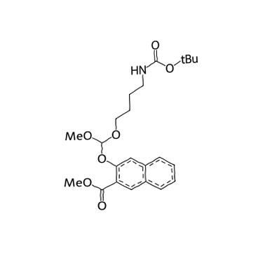 COC(=O)c1cc2ccccc2cc1OC(OC)OCCCCNC(=O)OC(C)(C)C